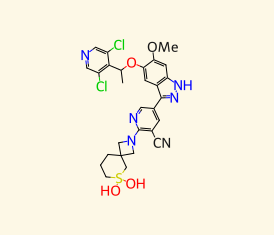 COc1cc2[nH]nc(-c3cnc(N4CC5(CCCS(O)(O)C5)C4)c(C#N)c3)c2cc1OC(C)c1c(Cl)cncc1Cl